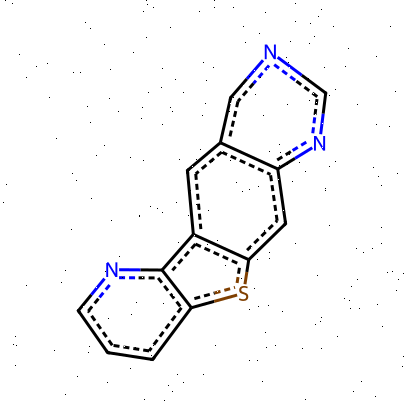 c1cnc2c(c1)sc1cc3ncncc3cc12